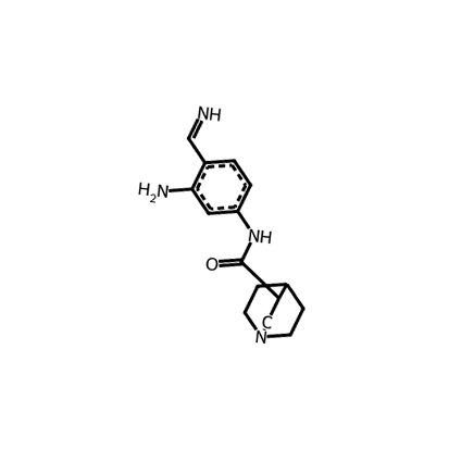 N=Cc1ccc(NC(=O)C2CN3CCC2CC3)cc1N